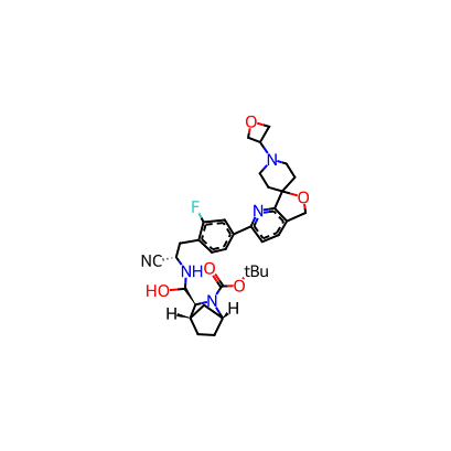 CC(C)(C)OC(=O)N1[C@@H]2CC[C@@H](C2)[C@H]1C(O)N[C@H](C#N)Cc1ccc(-c2ccc3c(n2)C2(CCN(C4COC4)CC2)OC3)cc1F